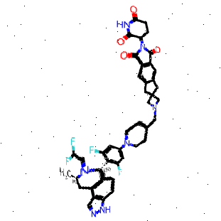 C[C@@H]1Cc2c(ccc3[nH]ncc23)[C@@H](c2c(F)cc(N3CCC(CN4CC5(Cc6cc7c(cc6C5)C(=O)N(C5CCC(=O)NC5=O)C7=O)C4)CC3)cc2F)N1CC(F)F